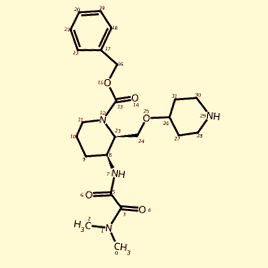 CN(C)C(=O)C(=O)N[C@H]1CCCN(C(=O)OCc2ccccc2)[C@H]1COC1CCNCC1